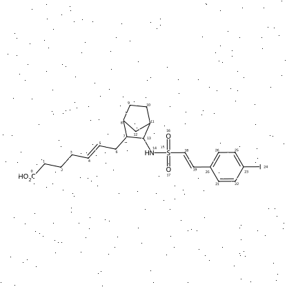 O=C(O)CCC/C=C/CC1C2CCC(C2)C1NS(=O)(=O)/C=C/c1ccc(I)cc1